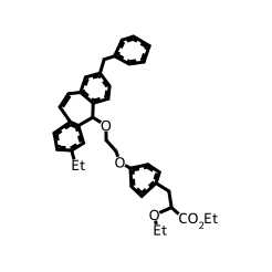 CCOC(=O)C(Cc1ccc(OCCOC2c3ccc(Cc4ccccc4)cc3C=Cc3ccc(CC)cc32)cc1)OCC